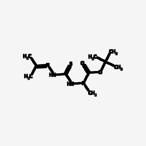 CC(C)=NNC(=S)NN(C)C(=O)OC(C)(C)C